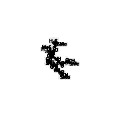 CSCC(C)C(=O)OCCOC(=O)CCNCCN(CCNCCN(CCC(=O)OCCOC(=O)C(C)CSC)CCN(CCC(=O)OCCOC(=O)C(C)CSC)CCC(=O)OCCOC(=O)C(C)CSC)CCC(=O)OCCOC(=O)C(C)CSC